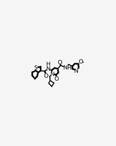 COc1cncc(CNC(=O)c2cc(NC(=O)c3csc4ccccc34)n(CC3CCC3)c(=O)c2)c1